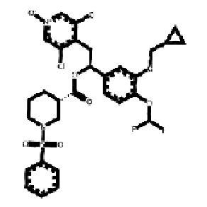 O=C(O[C@@H](Cc1c(Cl)c[n+]([O-])cc1Cl)c1ccc(OC(F)F)c(OCC2CC2)c1)[C@H]1CCCN(S(=O)(=O)c2ccccc2)C1